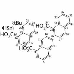 C[C](C)(C)[SnH].O=C(O)c1cccc2ccccc12.O=C(O)c1cccc2ccccc12.O=C(O)c1cccc2ccccc12